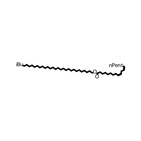 CCCCC/C=C\C/C=C\CCCCCCCC(=O)OCCCCCCCCCCCCCCCCCCCCCCCCCCCC(C)CC